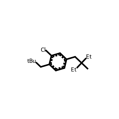 CCC(C)(CC)Cc1ccc(CC(C)(C)C)c(Cl)c1